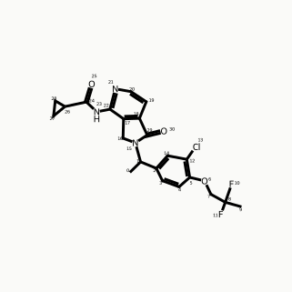 CC(c1ccc(OCC(C)(F)F)c(Cl)c1)N1Cc2c(ccnc2NC(=O)C2CC2)C1=O